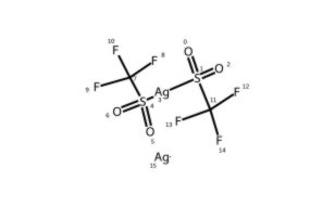 O=[S](=O)([Ag][S](=O)(=O)C(F)(F)F)C(F)(F)F.[Ag]